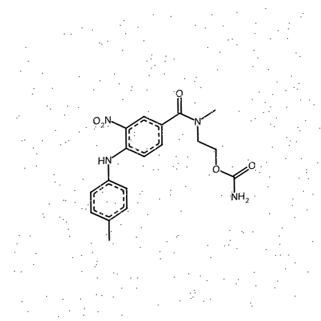 Cc1ccc(Nc2ccc(C(=O)N(C)CCOC(N)=O)cc2[N+](=O)[O-])cc1